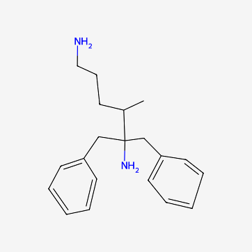 CC(CCCN)C(N)(Cc1ccccc1)Cc1ccccc1